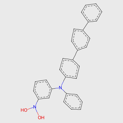 ON(O)c1cccc(N(c2ccccc2)c2ccc(-c3ccc(-c4ccccc4)cc3)cc2)c1